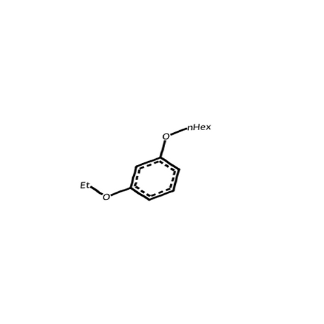 CCCCCCOc1cccc(OCC)c1